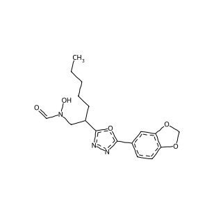 CCCCCC(CN(O)C=O)c1nnc(-c2ccc3c(c2)OCO3)o1